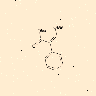 CO/C=C(\C(=O)OC)c1[c]cccc1